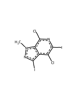 Cn1nc(I)c2c(Cl)c(I)nc(Cl)c21